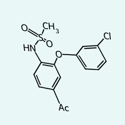 CC(=O)c1ccc(NS(C)(=O)=O)c(Oc2cccc(Cl)c2)c1